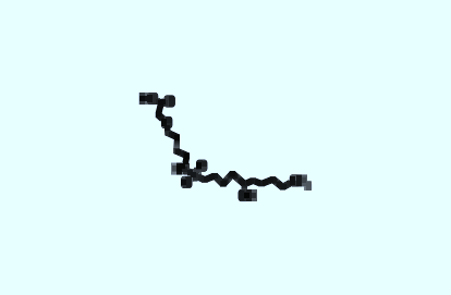 CCCCCC(O)CCCCS(=O)(=O)NCCCCOCC(=O)O